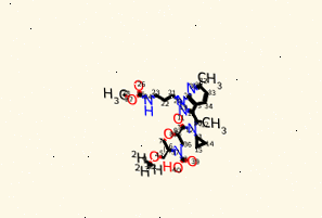 [2H]C([2H])([2H])OC[C@H]1CO[C@@H](C(=O)N(C2CC2)[C@H](C)c2nn(CCCNC(=O)OC)c3nc(C)ccc23)CN1C(=O)O